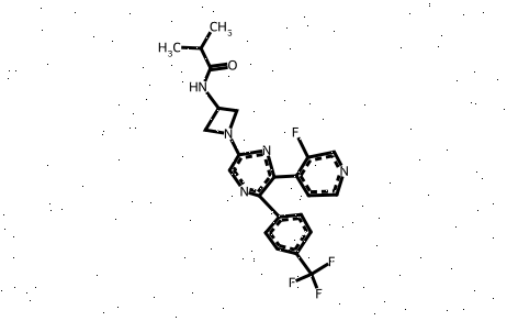 CC(C)C(=O)NC1CN(c2cnc(-c3ccc(C(F)(F)F)cc3)c(-c3ccncc3F)n2)C1